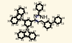 N/C(=N\C(=C/Cc1cccc(-c2ccccc2)c1)c1cc(-n2c3ccccc3c3ccccc32)cc(-n2c3ccccc3c3ccccc32)c1)c1ccccc1